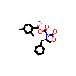 Cc1ccc(C(=O)OC(=O)N2C(=O)OC[C@H]2Cc2ccccc2)c(C)c1